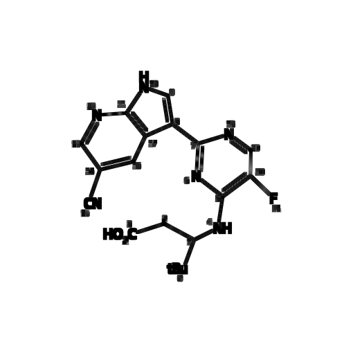 CC(C)(C)C(CC(=O)O)Nc1nc(-c2c[nH]c3ncc(C#N)cc23)ncc1F